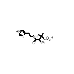 CC(C)C(C(=O)NCCc1c[nH]cn1)C(C)(C)C(=O)O